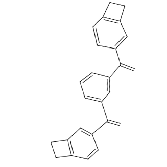 C=C(c1cccc(C(=C)c2ccc3c(c2)CC3)c1)c1ccc2c(c1)CC2